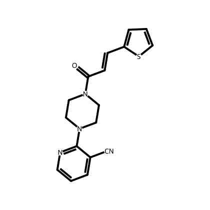 N#Cc1cccnc1N1CCN(C(=O)C=Cc2cccs2)CC1